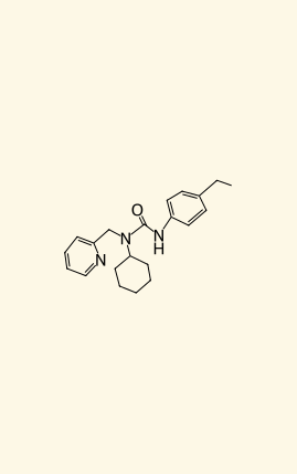 CCc1ccc(NC(=O)N(Cc2ccccn2)C2CCCCC2)cc1